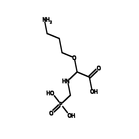 NCCCOC(NCP(=O)(O)O)C(=O)O